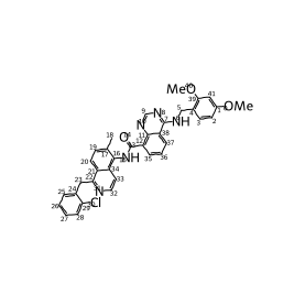 COc1ccc(CNc2ncnc3c(C(=O)Nc4c(C)ccc5c(Cc6ccccc6Cl)nccc45)cccc23)c(OC)c1